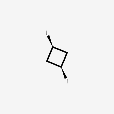 I[C@H]1C[C@@H](I)C1